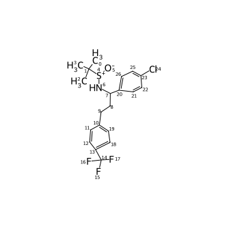 CC(C)(C)[S+]([O-])NC(CCc1ccc(C(F)(F)F)cc1)c1ccc(Cl)cc1